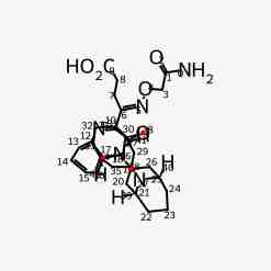 NC(=O)CO/N=C(\CCC(=O)O)c1nc2ccccc2n(C2C[C@H]3CCC[C@@H](C2)N3C2C[C@H]3CCC[C@@H](C2)C3)c1=O